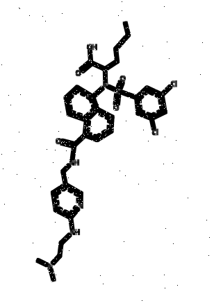 CCCCC(C(=O)O)N(c1cccc2c(C(=O)NCc3ccc(NCCN(C)C)nc3)cccc12)S(=O)(=O)c1cc(Cl)cc(Cl)c1